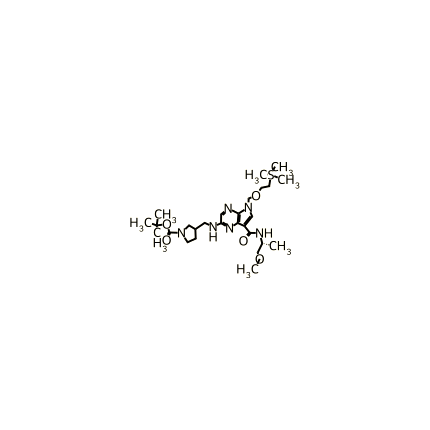 COC[C@@H](C)NC(=O)c1cn(COCCS(C)(C)C)c2ncc(NCC3CCN(C(=O)OC(C)(C)C)C3)nc12